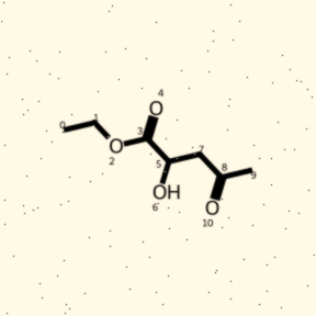 CCOC(=O)C(O)CC(C)=O